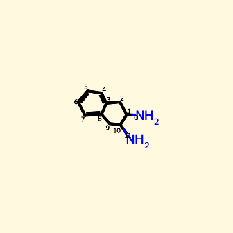 NC1Cc2ccccc2CC1N